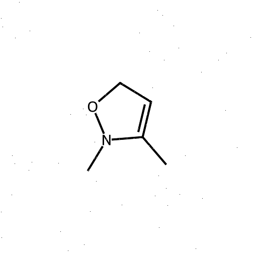 CC1=CCON1C